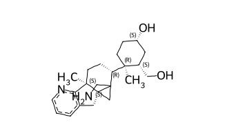 C[C@]1([C@H]2CC[C@]3(C)c4ncccc4C[C@]34CC24CN)CC[C@H](O)C[C@@H]1CO